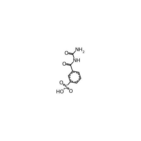 NC(=O)NC(=O)c1cccc(S(=O)(=O)O)c1